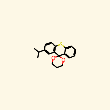 CC(C)c1ccc2c(c1)C1(OCCCO1)c1ccccc1S2